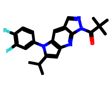 CC(C)c1cc2nc3c(cnn3C(=O)C(C)(C)C)cc2n1-c1ccc(F)c(F)c1